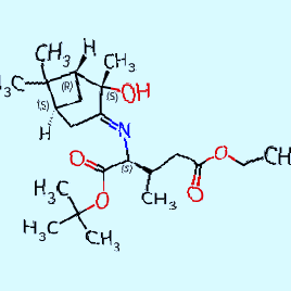 CCOC(=O)CC(C)[C@H](N=C1C[C@@H]2C[C@H](C2(C)C)[C@]1(C)O)C(=O)OC(C)(C)C